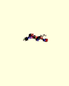 COc1cc2c(Oc3ccc(NC(=O)C4([C@@H](O)CNC5=CCC(F)C=C5)CC4)cc3F)ccnc2cc1OCCCN1CCOCC1